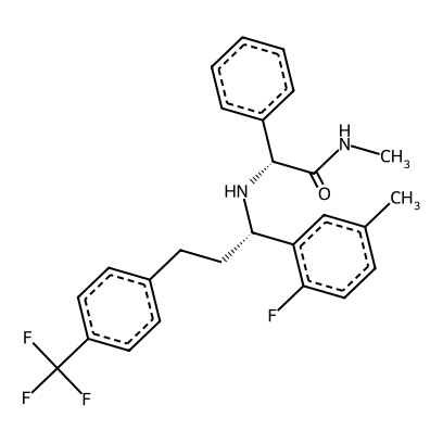 CNC(=O)[C@H](N[C@@H](CCc1ccc(C(F)(F)F)cc1)c1cc(C)ccc1F)c1ccccc1